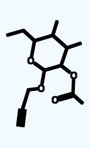 C#CCOC1OC(CC)C(C)C(C)C1OC(C)=O